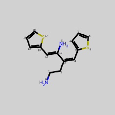 NCCC(=Cc1cccs1)C(N)=Cc1cccs1